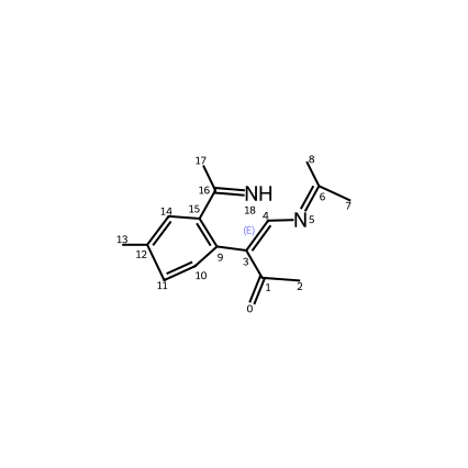 C=C(C)/C(=C\N=C(C)C)c1ccc(C)cc1C(C)=N